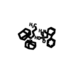 CCCCP(C12CC3CC(CC(C3)C1)C2)C12CC3CC(CC(C3)C1)C2.NC1(CS(=O)(=O)O)CC=CC=C1c1ccccc1